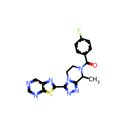 CC1c2nnc(-c3nc4cncnc4s3)n2CCN1C(=O)c1ccc(F)cc1